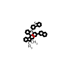 CC1(C)c2ccccc2-c2c(-c3ccccc3N(c3cccc(-c4ccc5ccccc5c4)c3)c3ccc4sc5ccccc5c4c3)cccc21